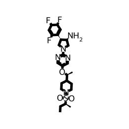 CC[C@H](C)S(=O)(=O)N1CCC([C@H](C)Oc2cnc(N3C[C@H](C4=CC(F)C(F)C=C4F)[C@@H](N)C3)nc2)CC1